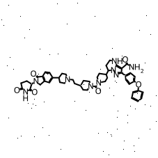 NC(=O)c1c(-c2ccc(Oc3ccccc3)cc2)nn2c1NCCC2C1CCN(C(=O)N2CCC(CCN3CCC(c4ccc5c(c4)CN(C4CCC(=O)NC4=O)C5=O)CC3)CC2)CC1